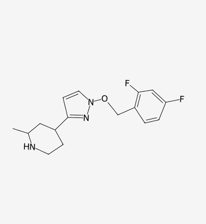 CC1CC(c2ccn(OCc3ccc(F)cc3F)n2)CCN1